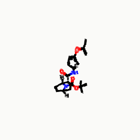 CC(C)Oc1ccc(NC(=O)[C@@H]2CC[C@@H]3CC[C@H]2N3C(=O)OC(C)(C)C)cc1